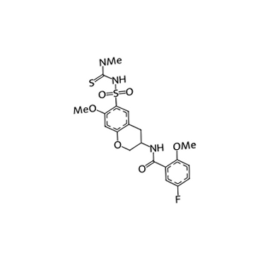 CNC(=S)NS(=O)(=O)c1cc2c(cc1OC)OCC(NC(=O)c1cc(F)ccc1OC)C2